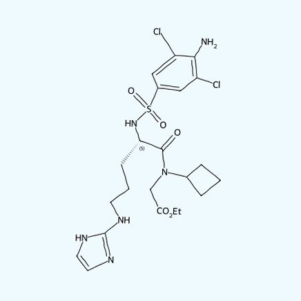 CCOC(=O)CN(C(=O)[C@H](CCCNc1ncc[nH]1)NS(=O)(=O)c1cc(Cl)c(N)c(Cl)c1)C1CCC1